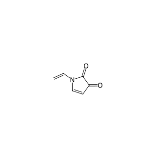 C=CN1C=CC(=O)C1=O